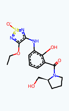 CCOc1n[s+]([O-])nc1Nc1cccc(C(=O)N2CCC[C@H]2CO)c1O